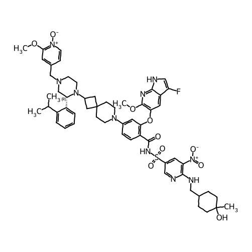 COc1nc2[nH]cc(F)c2cc1Oc1cc(N2CCC3(CC2)CC(N2CCN(Cc4cc[n+]([O-])c(OC)c4)C[C@H]2c2ccccc2C(C)C)C3)ccc1C(=O)NS(=O)(=O)c1cnc(NCC2CCC(C)(O)CC2)c([N+](=O)[O-])c1